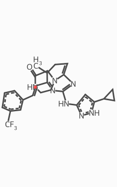 CC1C/C=C(N2CCNC(=O)C2)/N=C(Nc2cc(C3CC3)[nH]n2)\N=C1\C=C\c1cccc(C(F)(F)F)c1